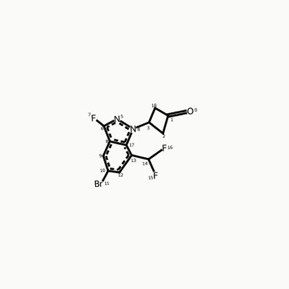 O=C1CC(n2nc(F)c3cc(Br)cc(C(F)F)c32)C1